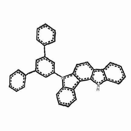 c1ccc(-c2cc(-c3ccccc3)cc(-n3c4ccccc4c4c5[nH]c6ccccc6c5ccc43)c2)cc1